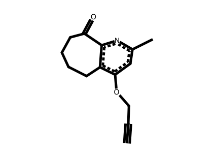 C#CCOc1cc(C)nc2c1CCCCC2=O